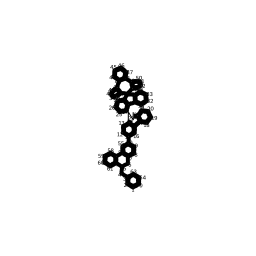 c1ccc(CC2Cc3ccc(-c4ccc5c(c4)c4ccccc4n5-c4cccc5c4-c4ccccc4C54c5ccccc5-c5ccccc5-c5ccccc54)cc3-c3ccccc32)cc1